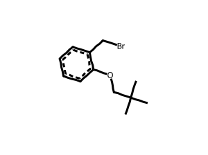 CC(C)(C)COc1ccccc1CBr